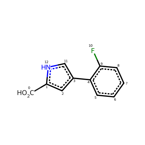 O=C(O)c1cc(-c2ccccc2F)c[nH]1